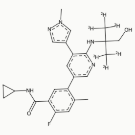 [2H]C([2H])([2H])C(CO)(Nc1ncc(-c2cc(C(=O)NC3CC3)c(F)cc2C)cc1-c1cnn(C)c1)C([2H])([2H])[2H]